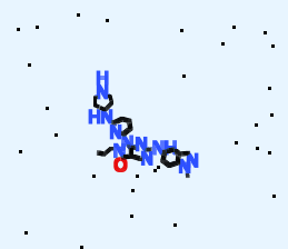 C=CCn1c(=O)c2cnc(Nc3ccc4c(cnn4C)c3)nc2n1-c1cccc(NC2CCNCC2)n1